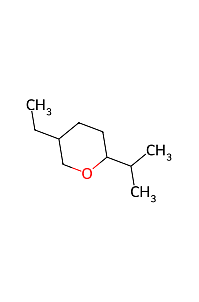 CCC1CCC(C(C)C)OC1